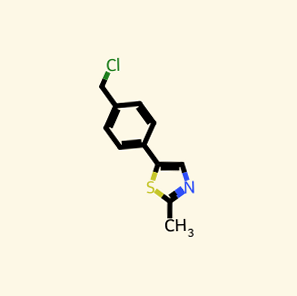 Cc1ncc(-c2ccc(CCl)cc2)s1